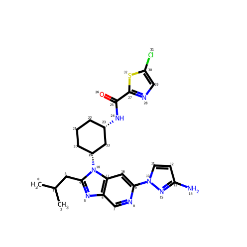 CC(C)Cc1nc2cnc(-n3ccc(N)n3)cc2n1[C@@H]1CCC[C@H](NC(=O)c2ncc(Cl)s2)C1